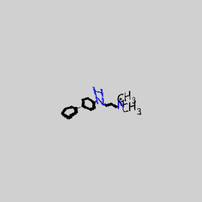 CN(C)CCCN[C@H]1CC[C@H](C2CCCCC2)CC1